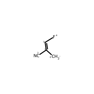 [CH2]C(C#N)=CF